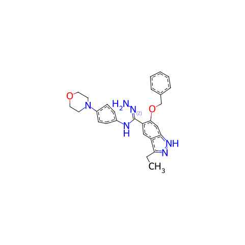 CCc1n[nH]c2cc(OCc3ccccc3)c(/C(=N/N)Nc3ccc(N4CCOCC4)cc3)cc12